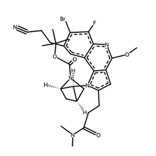 COc1nc2c(F)c(Br)c(CCC#N)cc2c2c1cc(CCC(=O)N(C)C)n2[C@H]1[C@@H]2C[C@H]1N(C(=O)OC(C)(C)C)C2